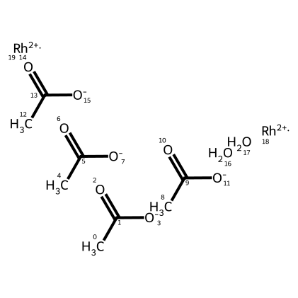 CC(=O)[O-].CC(=O)[O-].CC(=O)[O-].CC(=O)[O-].O.O.[Rh+2].[Rh+2]